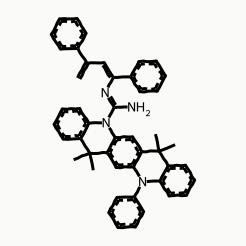 C=C(/C=C(\N=C(/N)N1c2ccccc2C(C)(C)c2cc3c(cc21)C(C)(C)c1ccccc1N3c1ccccc1)c1ccccc1)c1ccccc1